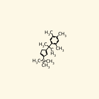 Cc1cc(C)c(C(C)(C)C2=CC([Si](C)(C)C)=CC2)cc1C